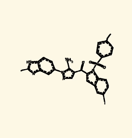 Cc1ccc(S(=O)(=O)n2c(C(=O)c3cnn(-c4ccc5[nH]c(C)nc5c4)c3N)cc3cc(I)ccc32)cc1